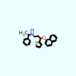 CC(NCCC(Oc1cccc2ccccc12)c1cccs1)c1ccccc1